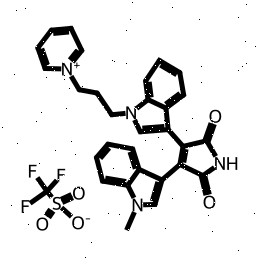 Cn1cc(C2=C(c3cn(CCC[n+]4ccccc4)c4ccccc34)C(=O)NC2=O)c2ccccc21.O=S(=O)([O-])C(F)(F)F